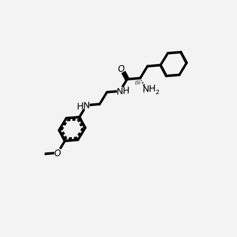 COc1ccc(NCCNC(=O)[C@@H](N)CC2CCCCC2)cc1